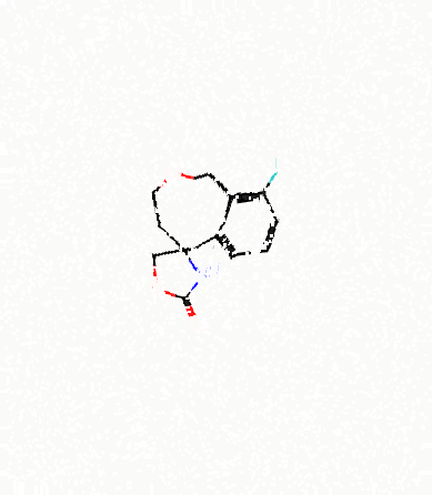 O=C1NC2(CCOCc3c(F)cccc32)CO1